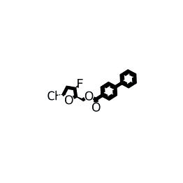 O=C(OC[C@H]1O[C@H](Cl)C[C@@H]1F)c1ccc(-c2ccccc2)cc1